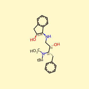 CC(C)(C)N(C(=O)O)[C@@H](Cc1ccccc1)[C@@H](O)CN[C@@H]1c2ccccc2C[C@@H]1O